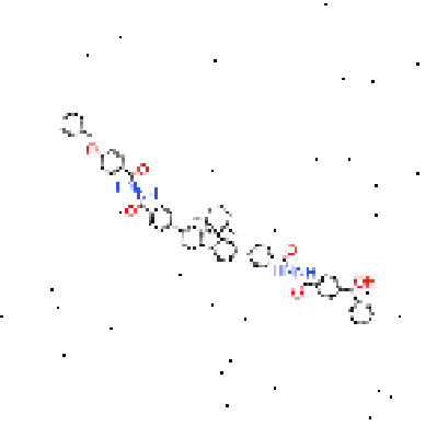 CC12CCCC(C)(CCC1)C21c2cc(-c3ccc(C(=O)NNC(=O)c4ccc(OCc5ccccc5)cc4)cc3)ccc2-c2ccc(-c3ccc(C(=O)NNC(=O)c4ccc(C(O)c5ccccc5)cc4)cc3)cc21